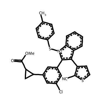 COC(=O)C1CC1c1cc(Cl)cc(-c2c(-c3ccsc3C#N)c3ccccc3n2Sc2ccc(C)cc2)c1